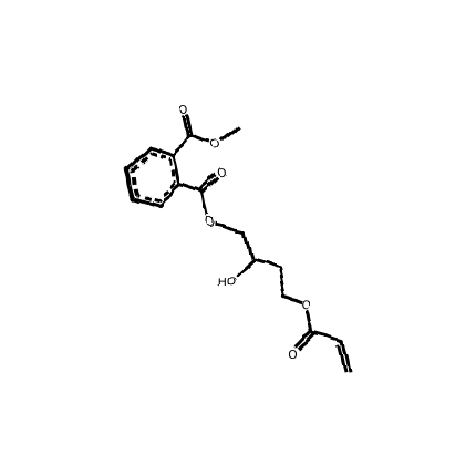 C=CC(=O)OCCC(O)COC(=O)c1ccccc1C(=O)OC